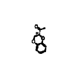 CC(=O)[C@H]1COc2ccccc2O1